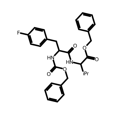 CC(C)C(NC(=O)C(Cc1ccc(F)cc1)NC(=O)OCc1ccccc1)C(=O)OCc1ccccc1